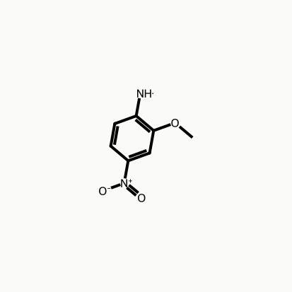 COc1cc([N+](=O)[O-])ccc1[NH]